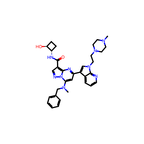 CN1CCN(CCn2cc(-c3cc(N(C)Cc4ccccc4)n4ncc(C(=O)N[C@H]5CC[C@@H]5O)c4n3)c3cccnc32)CC1